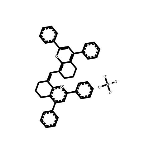 C1=C(c2ccccc2)OC2=C(/C=C3/CCCc4c(-c5ccccc5)cc(-c5ccccc5)[o+]c43)CCCC2=C1c1ccccc1.[O-][Cl+3]([O-])([O-])[O-]